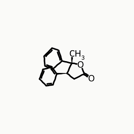 C[C@@]1(c2ccccc2)OC(=O)C[C@H]1c1ccccc1